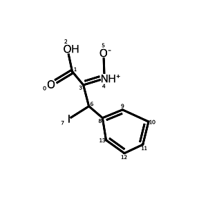 O=C(O)C(=[NH+][O-])C(I)c1ccccc1